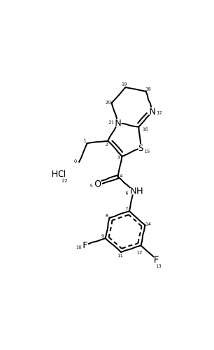 CCC1=C(C(=O)Nc2cc(F)cc(F)c2)SC2=NCCCN21.Cl